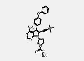 CC(C)(C)OC(=O)N1CCC(n2c(C#C[Si](C)(C)C)c(-c3ccc(Oc4ccccc4)cc3)c3c(N)ncnc32)C1